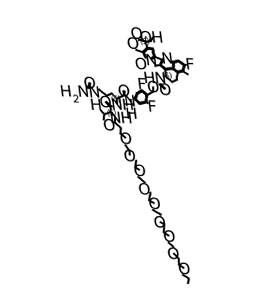 CCCOCCOCCOCCOCCOCCOCCOCCOCCOCCC(=O)N[C@H](C(=O)N[C@@H](CCCNC(N)=O)C(=O)Nc1cc(F)c(COC(=O)N[C@H]2CCc3c(C)c(F)cc4nc5c(c2c34)Cn2c-5cc3c(c2=O)COC(=O)[C@]3(O)CC)c(F)c1)C(C)C